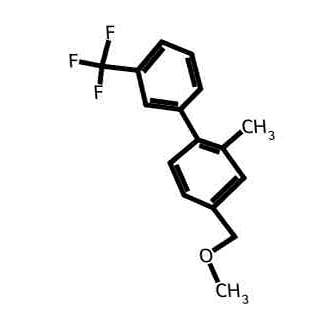 COCc1ccc(-c2cccc(C(F)(F)F)c2)c(C)c1